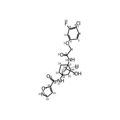 O=C(COc1ccc(Cl)c(F)c1)NC12CCC(NC(=O)c3ccno3)(CC1)C[C@@H]2O